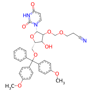 COc1ccc(C(OC[C@@H]2O[C@H](n3ccc(=O)[nH]c3=O)C(OCOCCC#N)C2O)(c2ccccc2)c2ccc(OC)cc2)cc1